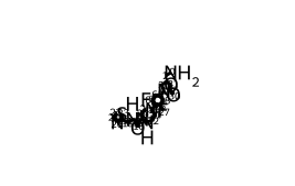 NC[C@H]1CN(c2cc(F)c(N3CCNN(C(=O)NCc4nccs4)CC3)c(F)c2)C(=O)O1